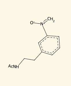 C=[N+]([O-])c1cccc(CCNC(C)=O)c1